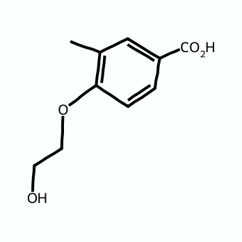 Cc1cc(C(=O)O)ccc1OCCO